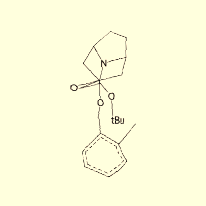 Cc1ccccc1COC1(C)CC2CCC(C1)N2C(=O)OC(C)(C)C